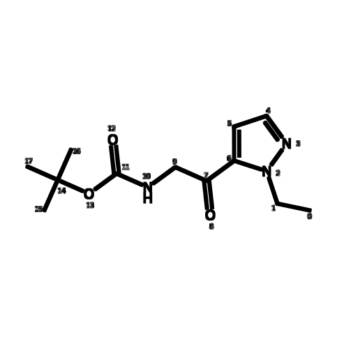 CCn1nccc1C(=O)CNC(=O)OC(C)(C)C